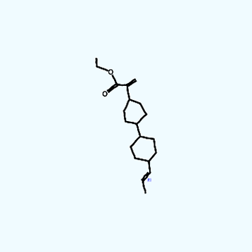 C=C(C(=O)OCC)C1CCC(C2CCC(/C=C/C)CC2)CC1